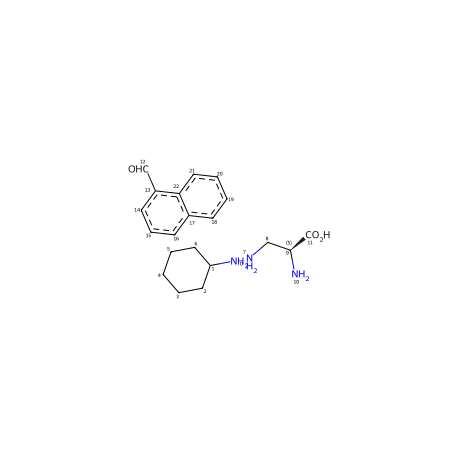 NC1CCCCC1.NC[C@H](N)C(=O)O.O=Cc1cccc2ccccc12